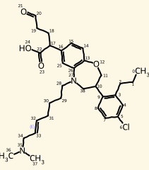 CCCc1cc(Cl)ccc1C1COc2ccc(C(CCC=O)C(=O)O)cc2N(CCCC/C=C/CN(C)C)C1